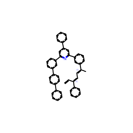 C=C/C(=C\C=C(/C)c1cccc(-c2cc(-c3ccccc3)cc(-c3cccc(-c4ccc(-c5ccccc5)cc4)c3)n2)c1)c1ccccc1